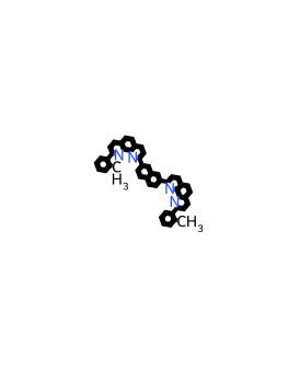 Cc1ccccc1-c1ccc2ccc3ccc(-c4ccc5ccc(-c6ccc7ccc8ccc(-c9ccccc9C)nc8c7n6)cc5c4)nc3c2n1